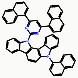 c1ccc2c(-c3cc(-c4cccc5ccccc45)nc(-n4c5ccccc5c5ccc6c(c7ccccc7n6-c6cccc7ccccc67)c54)n3)cccc2c1